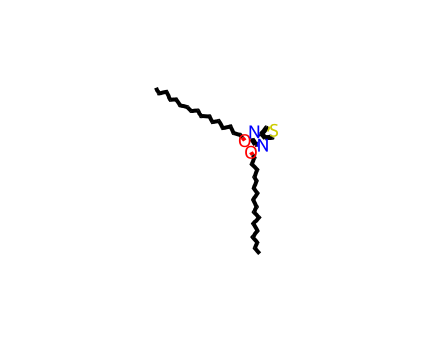 CCCCCCCCCCCCCCCCCOc1nc2cscc2nc1OCCCCCCCCCCCCCCCCC